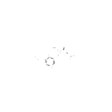 CC(C)(C(=O)N1CCOc2c(C#N)cncc2C1)C(F)F